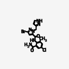 Cc1cc(Cl)cc(C(N)=O)c1NC(=O)c1cc(Br)nn1Cc1cc[nH]n1